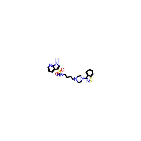 O=S(=O)(NCCCCN1CCN(c2nsc3ccccc23)CC1)c1c[nH]c2ncccc12